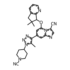 Cc1c(-c2cc(OC3c4ncccc4CC3(C)C)n3c(C#N)cnc3c2)nnn1C1CCN(C#N)CC1